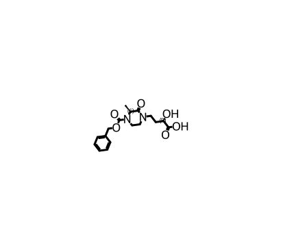 C[C@H]1C(=O)N(CC[C@@H](O)C(=O)O)CCN1C(=O)OCc1ccccc1